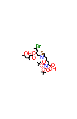 C/C(Br)=C\C(Cc1nc(CCC[C@@H](C(=O)O)N(C(=O)OC(C)(C)C)C(=O)OC(C)(C)C)cs1)OC(=O)/C=C(\C)CC(C)O